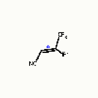 CC(C)/C(=C\C#N)C(F)(F)F